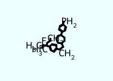 C=C(CC1CCCC(c2ccc(P)cc2)CC1)c1ccc(C(C)(CCC)C(C)(F)F)cc1